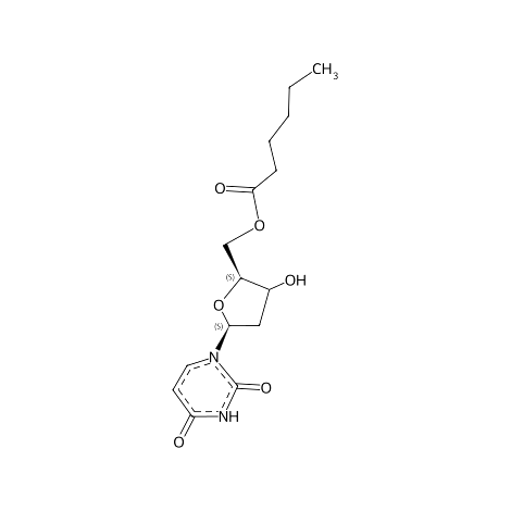 CCCCCC(=O)OC[C@@H]1O[C@H](n2ccc(=O)[nH]c2=O)CC1O